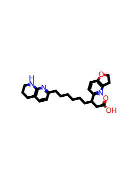 O=C(O)CC(CCCCCCc1ccc2c(n1)NCCC2)c1ccc2c(n1)CCO2